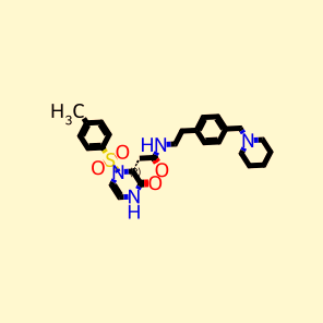 Cc1ccc(S(=O)(=O)N2C=CNC(=O)[C@H]2CC(=O)NCCc2ccc(CN3CCCCC3)cc2)cc1